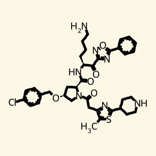 Cc1sc(C2CCNCC2)nc1CC(=O)N1C[C@H](OCc2ccc(Cl)cc2)C[C@H]1C(=O)N[C@@H](CCCCN)C(=O)c1noc(-c2ccccc2)n1